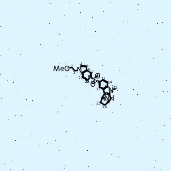 COCCn1ccc2cc(S(=O)(=O)c3ccc4c(c3)c3c(n4C)CC4CCC3N4)ccc21